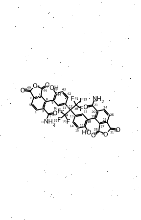 NC(=O)c1ccc2c(c1-c1cc(C(c3ccc(O)c(-c4c(C(N)=O)ccc5c4C(=O)OC5=O)c3)(C(F)(F)F)C(F)(F)F)ccc1O)C(=O)OC2=O